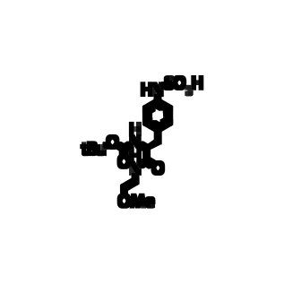 COCCNC(=O)[C@H](Cc1ccc(NS(=O)(=O)O)cc1)NC(=O)OC(C)(C)C